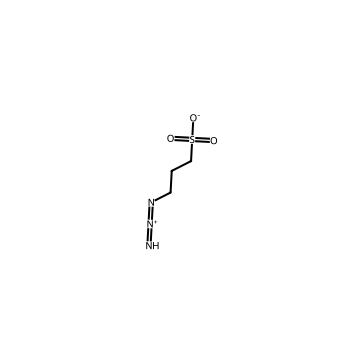 N=[N+]=NCCCS(=O)(=O)[O-]